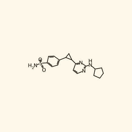 NS(=O)(=O)c1ccc(C2CC2c2ccnc(NC3CCCC3)n2)cc1